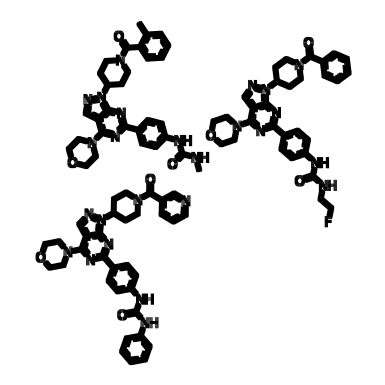 CNC(=O)Nc1ccc(-c2nc(N3CCOCC3)c3cnn(C4CCN(C(=O)c5ccccc5C)CC4)c3n2)cc1.O=C(NCCF)Nc1ccc(-c2nc(N3CCOCC3)c3cnn(C4CCN(C(=O)c5ccccc5)CC4)c3n2)cc1.O=C(Nc1ccccc1)Nc1ccc(-c2nc(N3CCOCC3)c3cnn(C4CCN(C(=O)c5cccnc5)CC4)c3n2)cc1